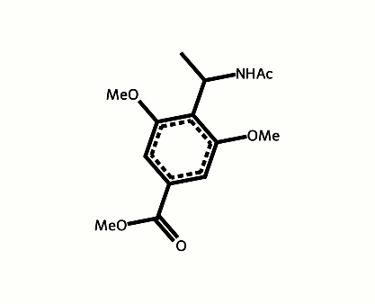 COC(=O)c1cc(OC)c(C(C)NC(C)=O)c(OC)c1